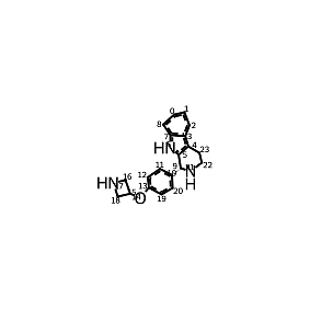 c1ccc2c3c([nH]c2c1)[C@@H](c1ccc(OC2CNC2)cc1)NCC3